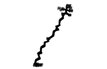 CCCCCCCCCCCCCCCCCCOCCOCCCCOC(=O)C(C)(C)CC